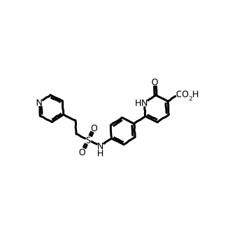 O=C(O)c1ccc(-c2ccc(NS(=O)(=O)CCc3ccncc3)cc2)[nH]c1=O